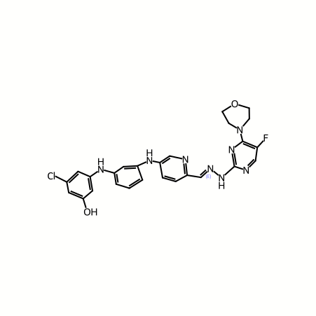 Oc1cc(Cl)cc(Nc2cccc(Nc3ccc(/C=N/Nc4ncc(F)c(N5CCOCC5)n4)nc3)c2)c1